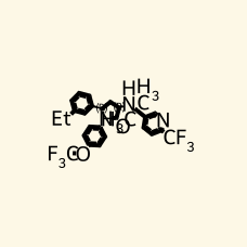 CCc1cccc([C@H]2C[C@@H](NC(C)(C)c3ccc(C(F)(F)F)nc3)C(=O)N2c2ccc(OC(F)(F)F)cc2)c1